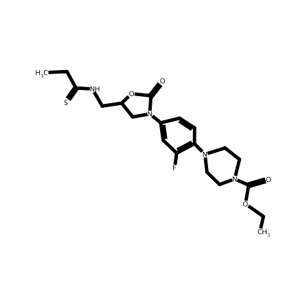 CCOC(=O)N1CCN(c2ccc(N3CC(CNC(=S)CC)OC3=O)cc2F)CC1